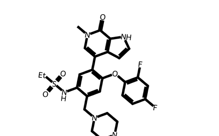 CCS(=O)(=O)Nc1cc(-c2cn(C)c(=O)c3[nH]ccc23)c(Oc2ccc(F)cc2F)cc1CN1CCN(C)CC1